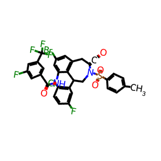 Cc1ccc(S(=O)(=O)N2CC(c3cc(F)ccc3Cl)c3c(cc(Br)cc3NC(=O)c3cc(F)cc(C(F)(F)F)c3)CC2=C=O)cc1